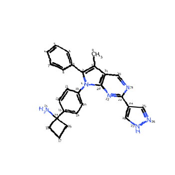 Cc1c(-c2ccccc2)n(-c2ccc(C3(N)CCC3)cc2)c2nc(-c3cn[nH]c3)ncc12